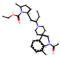 CCOC(=O)N1C(C)CCC1CC(CC)N1CCC2(CC1)CN(C(C)=O)c1c(C)cccc12